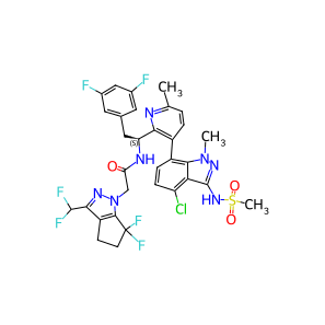 Cc1ccc(-c2ccc(Cl)c3c(NS(C)(=O)=O)nn(C)c23)c([C@H](Cc2cc(F)cc(F)c2)NC(=O)Cn2nc(C(F)F)c3c2C(F)(F)CC3)n1